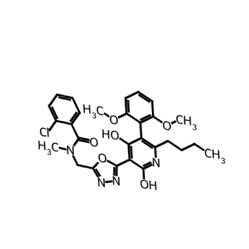 CCCCc1nc(O)c(-c2nnc(CN(C)C(=O)c3ccccc3Cl)o2)c(O)c1-c1c(OC)cccc1OC